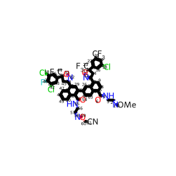 CO/N=C/CNC(=O)c1ccc(C2=NOC(c3cc(Cl)cc(C(F)(F)F)c3)(C(F)(F)F)C2)c2cc(-c3cc(C4=NOC(c5cc(Cl)c(F)c(Cl)c5)(C(F)(F)F)C4)c4ccccc4c3C(=O)NC/C=N\OCC#N)ccc12